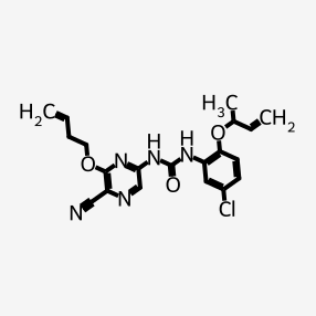 C=CCCOc1nc(NC(=O)Nc2cc(Cl)ccc2OC(C)C=C)cnc1C#N